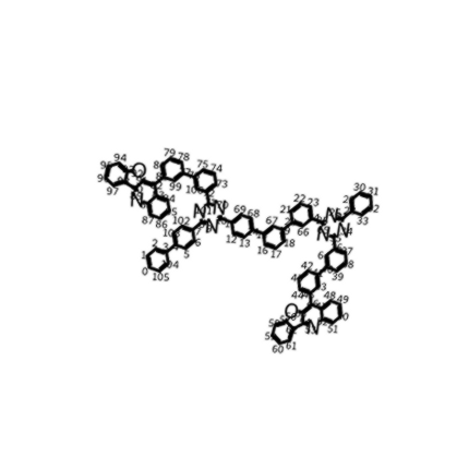 c1ccc(-c2ccc(-c3nc(-c4ccc(-c5cccc(-c6cccc(-c7nc(-c8ccccc8)nc(-c8cccc(-c9cccc(-c%10c%11ccccc%11nc%11c%10oc%10ccccc%10%11)c9)c8)n7)c6)c5)cc4)nc(-c4cccc(-c5cccc(-c6c7ccccc7nc7c6oc6ccccc67)c5)c4)n3)cc2)cc1